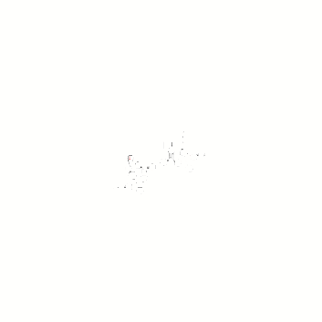 C=CCOc1ccc(C2(c3ccc(OCCOCC)cc3)c3ccccc3-c3ccc(N(c4ccc(-c5ccc(N(c6ccc(F)c(F)c6)c6ccc7c(c6)C(c6ccc(OCC=C)cc6)(c6ccc(OCCOCC)cc6)c6ccccc6-7)cc5)cc4)c4ccc(F)c(F)c4)cc32)cc1